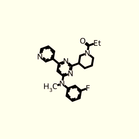 CCC(=O)N1CCCC(c2nc(-c3cccnc3)cc(N(C)c3cccc(F)c3)n2)C1